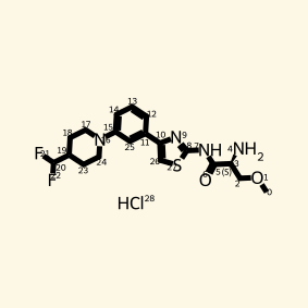 COC[C@H](N)C(=O)Nc1nc(-c2cccc(N3CCC(C(F)F)CC3)c2)cs1.Cl